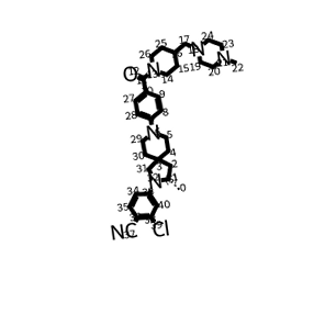 C[C@H]1CC2(CCN(c3ccc(C(=O)N4CCC(CN5CCN(C)CC5)CC4)cc3)CC2)CN1c1ccc(C#N)c(Cl)c1